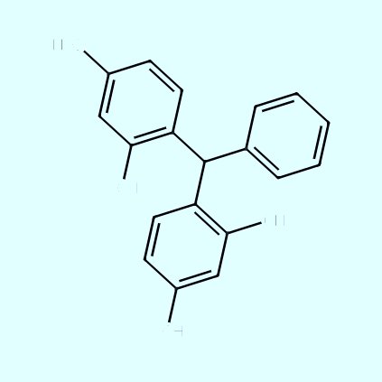 Cc1ccc(C(c2ccccc2)c2ccc(C)cc2C)c(C)c1